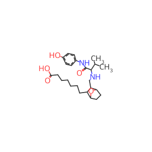 CC(C)C(NCC1C2CCC(O2)C1CCCCCCC(=O)O)C(=O)Nc1ccc(O)cc1